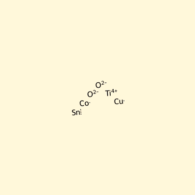 [Co].[Cu].[O-2].[O-2].[Sn].[Ti+4]